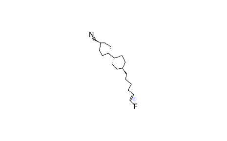 N#C[C@H]1CC[C@H]([C@H]2CC[C@H](CCCC/C=C/F)CC2)CC1